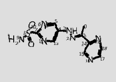 C/C(=N\Nc1cnc(S(N)(=O)=O)nc1)c1cnccn1